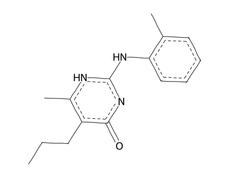 CCCc1c(C)[nH]c(Nc2ccccc2C)nc1=O